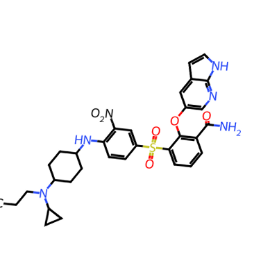 N#CCCN(C1CCC(Nc2ccc(S(=O)(=O)c3cccc(C(N)=O)c3Oc3cnc4[nH]ccc4c3)cc2[N+](=O)[O-])CC1)C1CC1